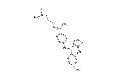 COc1ccc2c(Nc3ccc(/C(C)=N/OCCN(C)C)cc3)c3ccoc3nc2c1